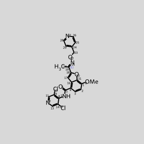 COc1ccc(C(=O)Nc2c(Cl)cncc2Cl)c2cc(/C(C)=N/OCc3ccncc3)oc12